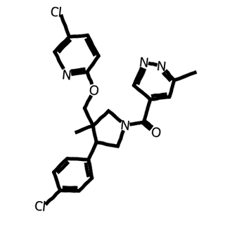 Cc1cc(C(=O)N2CC(c3ccc(Cl)cc3)C(C)(COc3ccc(Cl)cn3)C2)cnn1